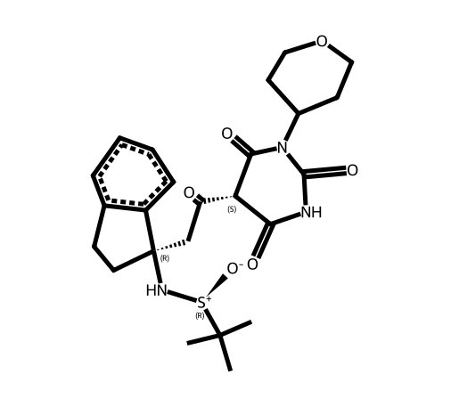 CC(C)(C)[S@+]([O-])N[C@@]1(CC(=O)[C@H]2C(=O)NC(=O)N(C3CCOCC3)C2=O)CCc2ccccc21